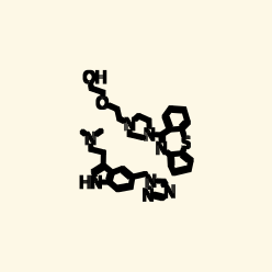 CN(C)CCc1c[nH]c2ccc(Cn3cncn3)cc12.OCCOCCN1CCN(C2=Nc3ccccc3Sc3ccccc32)CC1